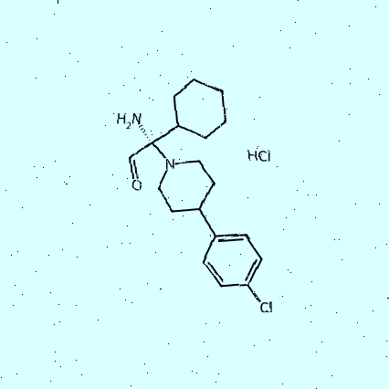 Cl.N[C@](C=O)(C1CCCCC1)N1CCC(c2ccc(Cl)cc2)CC1